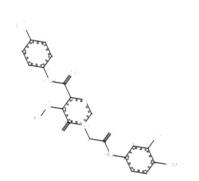 COc1ccc(NC(=O)Cn2cnc(C(=N)Nc3ccc(C(F)(F)F)cc3)c(NC(C)C)c2=O)cc1F